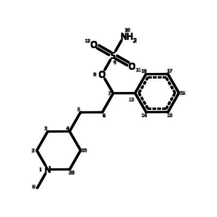 CN1CCC(CCC(OS(N)(=O)=O)c2ccccc2)CC1